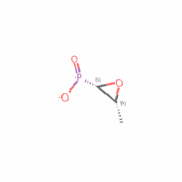 C[C@H]1O[C@H]1[P]([O])=O